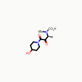 C[C@@H](C(=O)C(=O)N1CCC(O)CC1)N(C(=O)O)C(C)(C)C